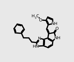 COc1cc[nH]c1C=C1C(=O)Nc2ccc3[nH]c(CCCc4ccccc4)nc3c21